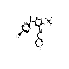 N#Cc1cnc(Nc2cc(NCC3CCNCC3)c(OC(F)(F)F)nn2)cn1